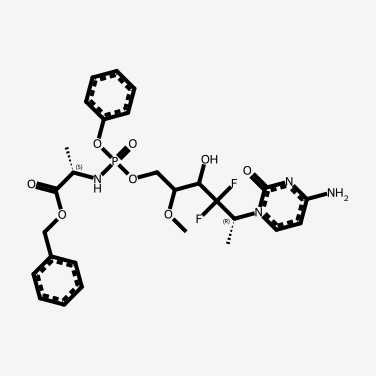 COC(COP(=O)(N[C@@H](C)C(=O)OCc1ccccc1)Oc1ccccc1)C(O)C(F)(F)[C@@H](C)n1ccc(N)nc1=O